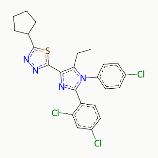 CCc1c(-c2nnc(C3CCCC3)s2)nc(-c2ccc(Cl)cc2Cl)n1-c1ccc(Cl)cc1